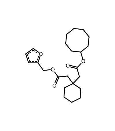 O=C(CC1(CC(=O)OC2CCCCCCC2)CCCCC1)OCc1ccco1